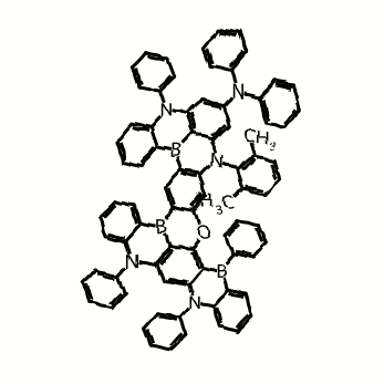 Cc1cccc(C)c1N1c2cc3c(cc2B2c4ccccc4N(c4ccccc4)c4cc(N(c5ccccc5)c5ccccc5)cc1c42)B1c2ccccc2N(c2ccccc2)c2cc4c(c(c21)O3)B(c1ccccc1)c1ccccc1N4c1ccccc1